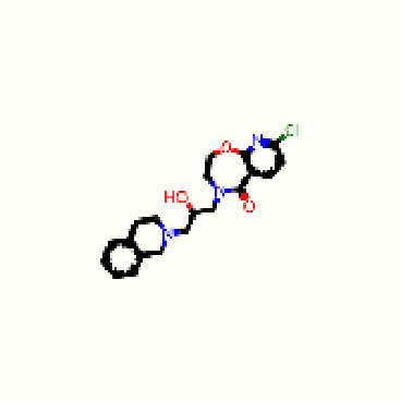 O=C1c2ccc(Cl)nc2OCCN1CC(O)CN1CCc2ccccc2C1